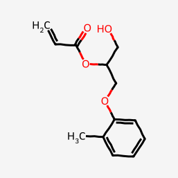 C=CC(=O)OC(CO)COc1ccccc1C